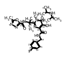 CC(C)NC(C)C.Cc1nnc(C(=O)NC(C)(C)c2nc(C(=O)NCc3ccc(F)cc3)c(O)c(=O)n2C)o1